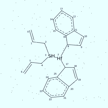 C=CC[SiH](CC=C)[Hf]([CH]1C=Cc2ccccc21)[CH]1C=Cc2ccccc21